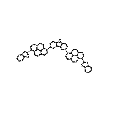 c1ccc2sc(-c3ccc4ccc5c(-c6ccc7sc8ccc(-c9ccc%10ccc%11c(-c%12cc%13ccccc%13s%12)ccc%12ccc9c%10c%12%11)cc8c7c6)ccc6ccc3c4c65)cc2c1